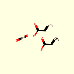 C=CC(=O)[O-].C=CC(=O)[O-].[O]=[U+2]=[O]